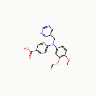 CCOc1cc(N(Cc2cncnc2)c2ccc(C(=O)O)cc2)ccc1OC